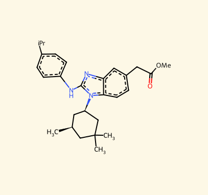 COC(=O)Cc1ccc2c(c1)nc(Nc1ccc(C(C)C)cc1)n2[C@@H]1C[C@H](C)CC(C)(C)C1